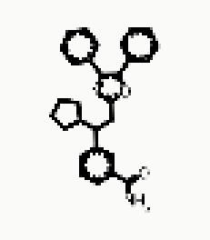 NC(=O)c1cccc(C(Cc2nc(-c3ccccc3)c(-c3ccccc3)o2)C2CCCC2)c1